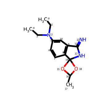 CCN(CC)c1ccc2c(c1)C(=N)NC21OC(C)O1